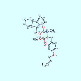 C=CCOc1ccc(CC(C(=O)OC(C)(C)C)N(C)C(=O)OCC2c3ccccc3-c3ccccc32)cc1